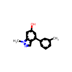 Cc1cccc(-c2cc(O)cc3c2cnn3C)c1